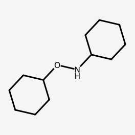 C1CCC(NOC2CCCCC2)CC1